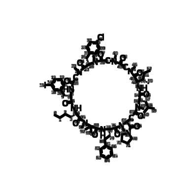 CCCC[C@@H]1NC(=O)[C@H](Cc2cccc(I)c2)NC(=O)CN(C)C(=O)[C@H](Cc2ccc(Cl)cc2)N(C)C(=O)CN(C)C(=O)CN(C)C(=O)[C@H]([C@@H](C)CC)NC(=O)[C@H](CC(C)C)N(C)C(=O)C[C@@H](C(=O)N2CCCC2)N(C)C(=O)[C@H](CCc2ccccc2)NC(=O)C(C)(C)N(C)C1=O